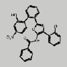 O=C(Nc1oc(-c2ccccc2-c2ccc([N+](=O)[O-])cc2O)nc1-c1ccccc1Cl)c1ccccc1